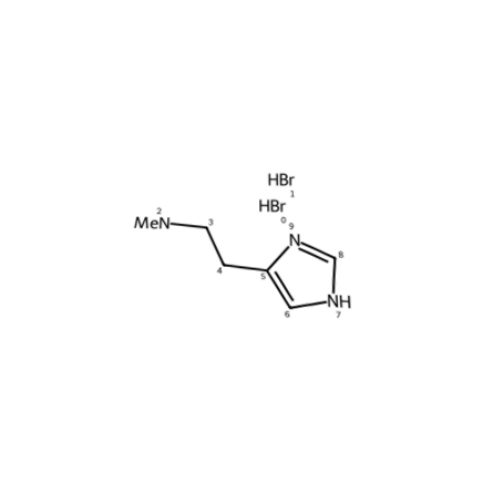 Br.Br.CNCCc1c[nH]cn1